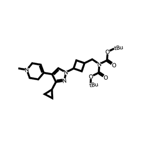 CN1CC=C(c2cn(C3CC(CN(C(=O)OC(C)(C)C)C(=O)OC(C)(C)C)C3)nc2C2CC2)CC1